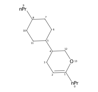 CCCC1=CCC(C2CCC(CCC)CC2)CO1